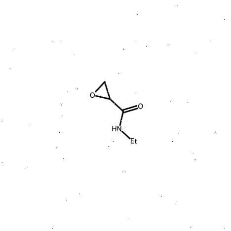 CCNC(=O)C1CO1